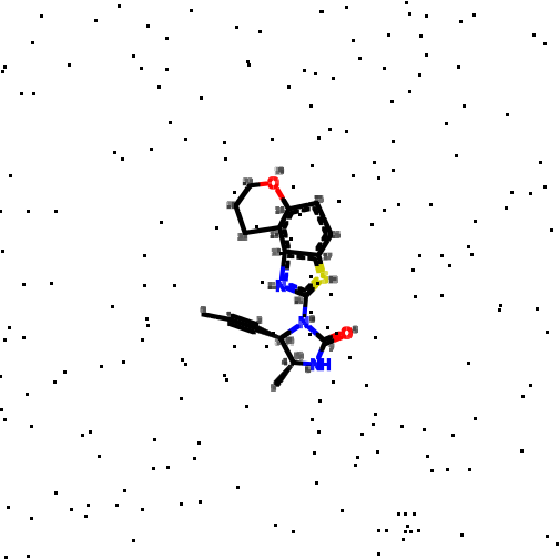 CC#C[C@@H]1[C@H](C)NC(=O)N1c1nc2c3c(ccc2s1)OCCC3